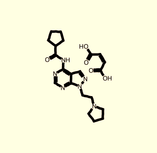 O=C(Nc1ncnc2c1cnn2CCN1CCCC1)C1CCCC1.O=C(O)/C=C\C(=O)O